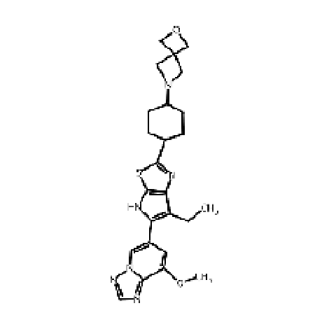 CCc1c(-c2cc(OC)c3ncnn3c2)[nH]c2sc(C3CCC(N4CC5(COC5)C4)CC3)nc12